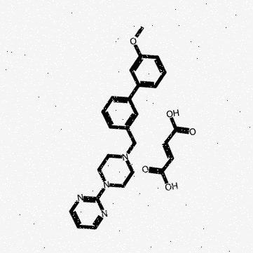 COc1cccc(-c2cccc(CN3CCN(c4ncccn4)CC3)c2)c1.O=C(O)C=CC(=O)O